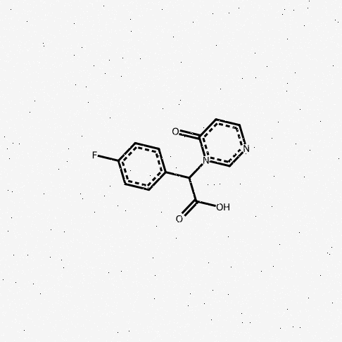 O=C(O)C(c1ccc(F)cc1)n1cnccc1=O